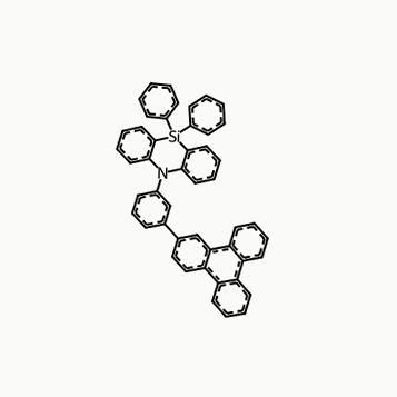 c1ccc([Si]2(c3ccccc3)c3ccccc3N(c3cccc(-c4ccc5c6ccccc6c6ccccc6c5c4)c3)c3ccccc32)cc1